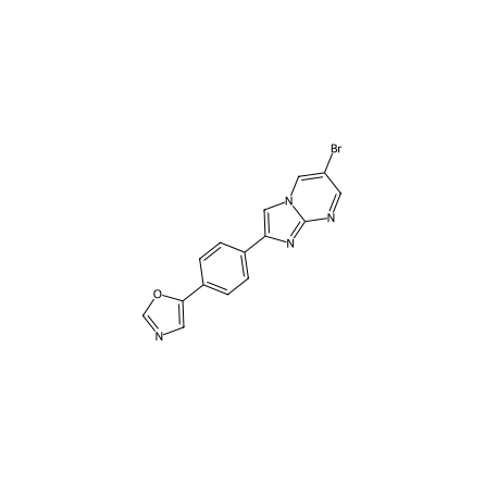 Brc1cnc2nc(-c3ccc(-c4cnco4)cc3)cn2c1